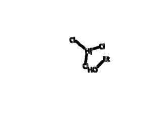 CCO.[Cl][Hf]([Cl])[Cl]